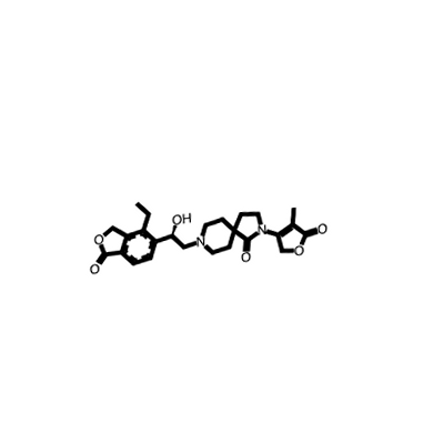 CCc1c([C@@H](O)CN2CCC3(CC2)CCN(C2=C(C)C(=O)OC2)C3=O)ccc2c1COC2=O